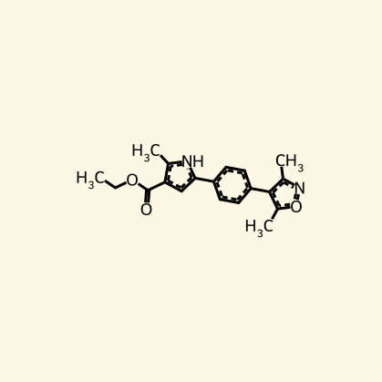 CCOC(=O)c1cc(-c2ccc(-c3c(C)noc3C)cc2)[nH]c1C